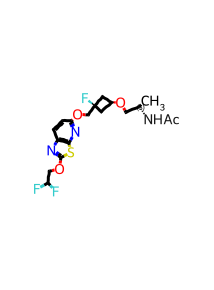 CC(=O)N[C@@H](C)CO[C@H]1C[C@](F)(COc2ccc3nc(OCC(F)F)sc3n2)C1